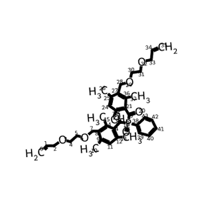 C=CCOCCOCc1c(C)cc(C)c(C(=O)P(=O)(C(=O)c2c(C)cc(C)c(COCCOCC=C)c2C)c2ccccc2)c1C